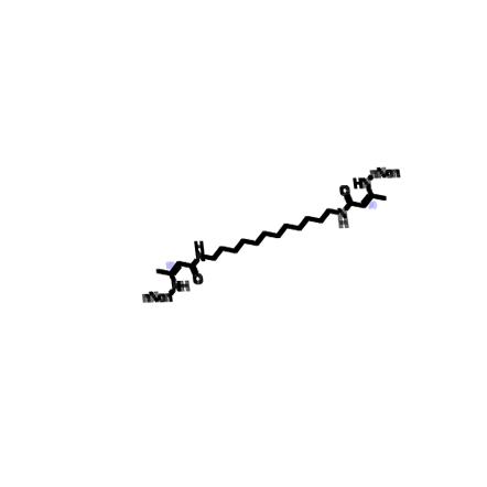 CCCCCCCCCN/C(C)=C\C(=O)NCCCCCCCCCCCCNC(=O)/C=C(/C)NCCCCCCCCC